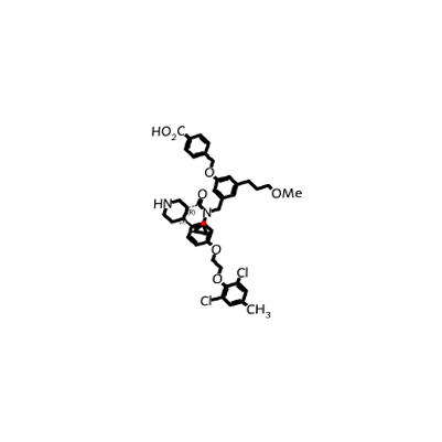 COCCCc1cc(CN(C(=O)[C@H]2CNCC[C@@H]2c2ccc(OCCOc3c(Cl)cc(C)cc3Cl)cc2)C2CC2)cc(OCc2ccc(C(=O)O)cc2)c1